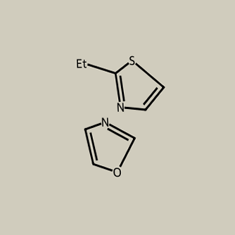 CCc1nccs1.c1cocn1